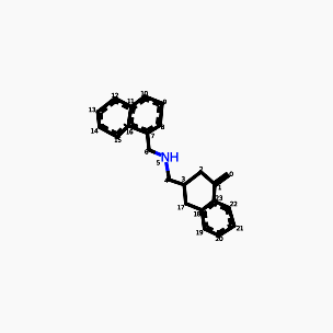 C=C1CC(CNCc2cccc3ccccc23)Cc2ccccc21